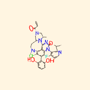 C=CC(=O)N1CC(C)N2c3nc(=O)n(-c4c(C)ccnc4C(C)C)c4c(F)c(-c5c(O)cccc5O)c(Cl)c(c34)N(C)CCC2C1